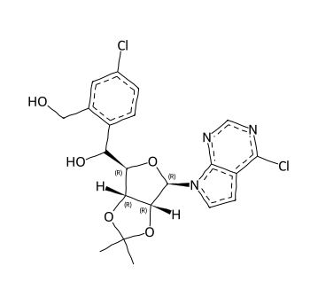 CC1(C)O[C@@H]2[C@H](O1)[C@@H](C(O)c1ccc(Cl)cc1CO)O[C@H]2n1ccc2c(Cl)ncnc21